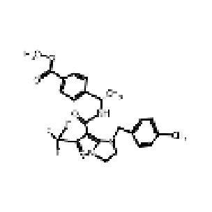 COC(=O)c1ccc([C@H](C)NC(=O)c2c(C(F)(F)F)nn3c2N(Cc2ccc(C)cc2)CC3)cc1